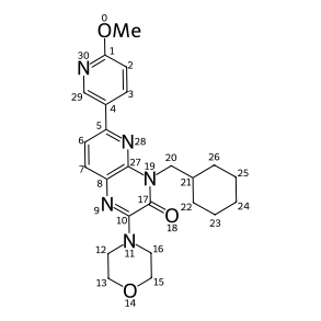 COc1ccc(-c2ccc3nc(N4CCOCC4)c(=O)n(CC4CCCCC4)c3n2)cn1